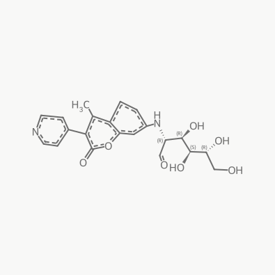 Cc1c(-c2ccncc2)c(=O)oc2cc(N[C@@H](C=O)[C@@H](O)[C@H](O)[C@H](O)CO)ccc12